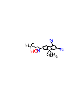 CCCC(=NO)c1ccc2c(c1)C(CC)(CC)c1cc(C#N)cc(C#N)c1-2